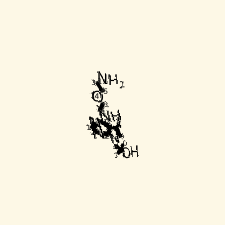 CC(C)(O)Cn1cc(I)c2c(NCCOCCN)ncnc21